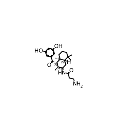 C[C@@H]1[C@H](NC(=O)CCN)C[C@H]2C(C)(C)CCC[C@]2(C)[C@H]1C(=O)c1cc(O)cc(O)c1